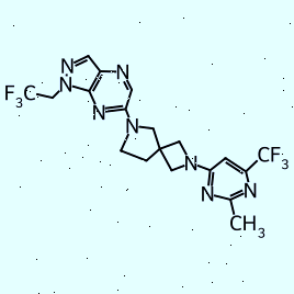 Cc1nc(N2CC3(CCN(c4cnc5cnn(CC(F)(F)F)c5n4)C3)C2)cc(C(F)(F)F)n1